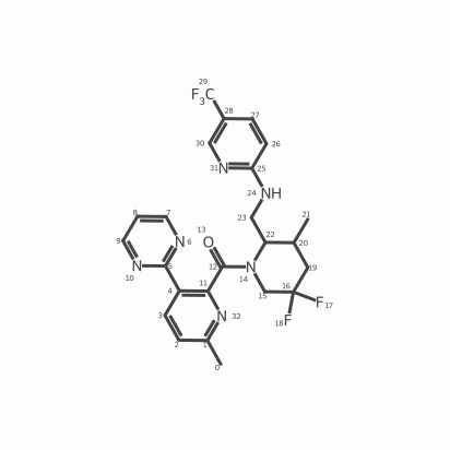 Cc1ccc(-c2ncccn2)c(C(=O)N2CC(F)(F)CC(C)C2CNc2ccc(C(F)(F)F)cn2)n1